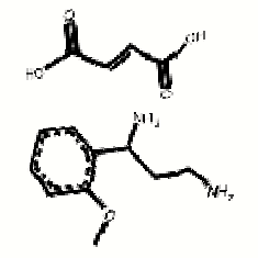 COc1ccccc1C(N)CCN.O=C(O)C=CC(=O)O